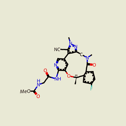 COC(=O)NCC(=O)Nc1ncc2cc1O[C@H](C)c1cc(F)ccc1C(=O)N(C)Cc1nn(C)c(C#N)c1-2